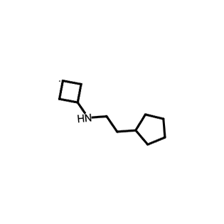 [CH]1CC(NCCC2CCCC2)C1